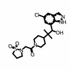 CC(C)(C1CCN(C(=O)CN2CCCS2(=O)=O)CC1)C(O)c1cc(Cl)cc2cn[nH]c12